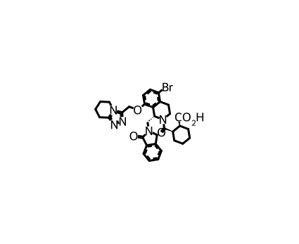 O=C(O)[C@H]1CCCC[C@H]1C(=O)N1CCc2c(Br)ccc(OCc3nnc4n3CCCC4)c2[C@H]1CN1Cc2ccccc2C1=O